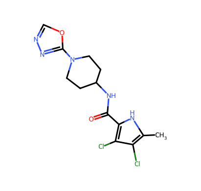 Cc1[nH]c(C(=O)NC2CCN(c3nnco3)CC2)c(Cl)c1Cl